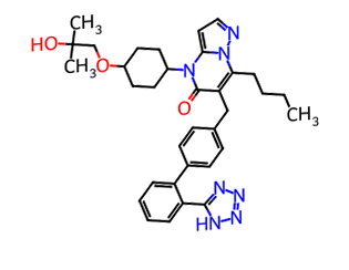 CCCCc1c(Cc2ccc(-c3ccccc3-c3nnn[nH]3)cc2)c(=O)n(C2CCC(OCC(C)(C)O)CC2)c2ccnn12